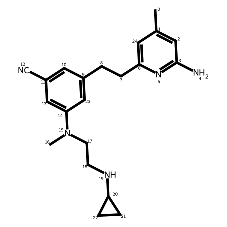 Cc1cc(N)nc(CCc2cc(C#N)cc(N(C)CCNC3CC3)c2)c1